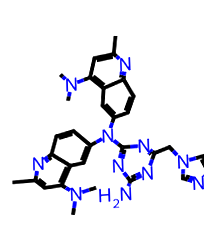 Cc1cc(N(C)C)c2cc(N(c3ccc4nc(C)cc(N(C)C)c4c3)c3nc(N)nc(Cn4ccnc4)n3)ccc2n1